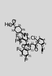 C#Cc1cccc(Cl)c1C(=O)CN(Cc1cc(F)cc(F)c1)C(=O)c1cnn([C@H]2CC[C@H](C(=O)O)CC2)c1C(F)(F)F